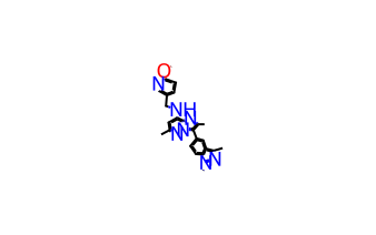 COc1ccc(CNc2cc(C)nn3c(-c4ccc5c(c4)c(C)nn5C)c(C)nc23)cn1